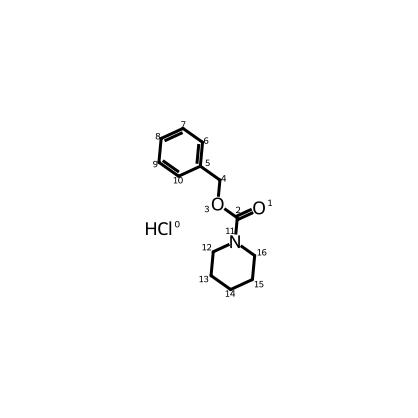 Cl.O=C(OCc1ccccc1)N1CCCCC1